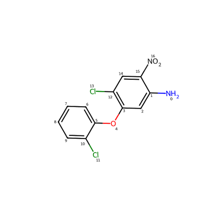 Nc1cc(Oc2ccccc2Cl)c(Cl)cc1[N+](=O)[O-]